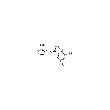 Cc1occc1CCN(C)C1=NC(C)N=C(N)N1